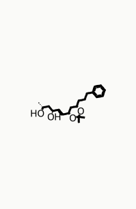 C[C@@H](O)C[C@@H](O)C=CC1CC(CCCc2ccccc2)OC(C)(C)O1